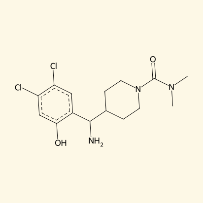 CN(C)C(=O)N1CCC(C(N)c2cc(Cl)c(Cl)cc2O)CC1